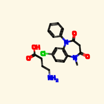 CN1C(=O)CC(=O)N(c2ccccc2)c2cc(Cl)ccc21.NCCCC(=O)O